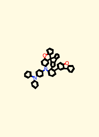 c1ccc(N(c2ccccc2)c2ccc(N(c3cccc(-c4ccc5oc6ccccc6c5c4)c3)c3ccc4c(c3)C3(c5ccccc5O4)c4ccccc4-c4ccccc43)cc2)cc1